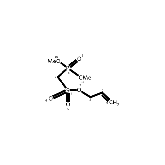 C=CCOS(=O)(=O)CP(=O)(OC)OC